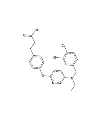 CCN(Cc1ccc(Cl)c(Cl)c1)c1ccc(Oc2ccc(CCC(=O)O)cc2)nc1